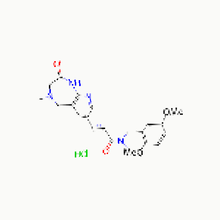 COc1ccc(OC)c(CN(C)C(=O)/C=C/c2cnc3c(c2)CN(C)CC(=O)N3)c1.Cl